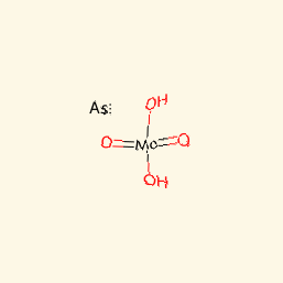 [As].[O]=[Mo](=[O])([OH])[OH]